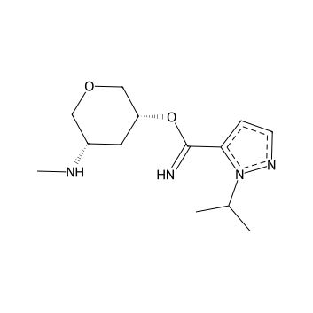 CN[C@@H]1COC[C@H](OC(=N)c2ccnn2C(C)C)C1